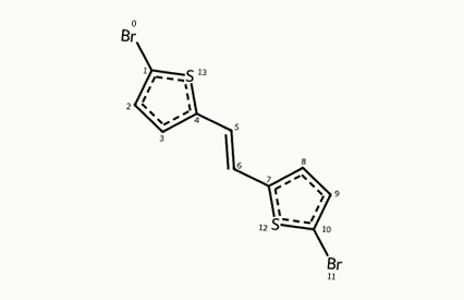 Brc1ccc(/C=C/c2ccc(Br)s2)s1